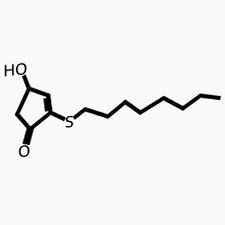 CCCCCCCCSC1=CC(O)CC1=O